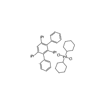 CC(C)c1cc(C(C)C)c(-c2ccccc2)c(C(C)C)c1-c1[c]cccc1.[Cl][Pd]([Cl])([CH]1CCCCC1)[CH]1CCCCC1